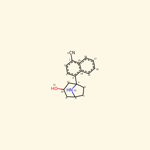 N#Cc1ccc(C23CCC(CC(O)C2)N3)c2ccccc12